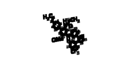 C=CCN1CCN(c2cc(OC)c(Nc3cc(N4OCC[C@@H]4c4cccc(C(F)(F)F)c4F)ncn3)cc2NC(=O)C=C)CC1